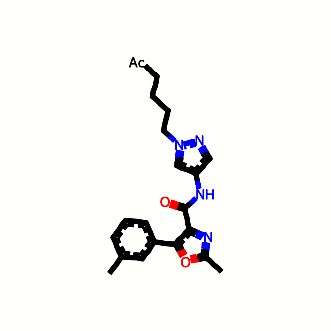 CC(=O)CCCCn1cc(NC(=O)c2nc(C)oc2-c2cccc(C)c2)cn1